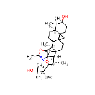 CC(=O)O[C@@H](C1C[C@@H](C)[C@H]2C3(N=C(C)OC3[C@@]3(C)C4CC[C@H]5C(C)(C)C(O)CCC56CC46CCC23C)O1)C(C)(C)O